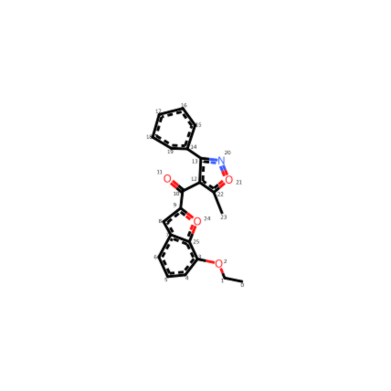 CCOc1cccc2cc(C(=O)c3c(-c4ccccc4)noc3C)oc12